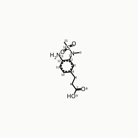 CN(c1cc(CCC(=O)O)ccc1N)S(C)(=O)=O